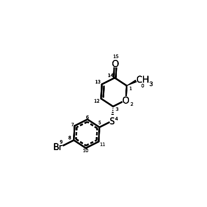 C[C@H]1O[C@H](Sc2ccc(Br)cc2)C=CC1=O